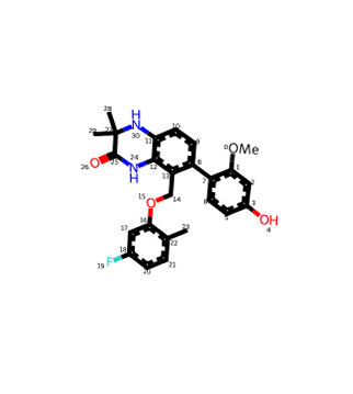 COc1cc(O)ccc1-c1ccc2c(c1COc1cc(F)ccc1C)NC(=O)C(C)(C)N2